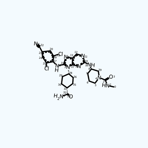 CNC(=O)N1CCC[C@@H](Nc2ncc3nc(Nc4c(Cl)cc(C#N)cc4Cl)n([C@H]4CC[C@@H](C(N)=O)CC4)c3n2)C1